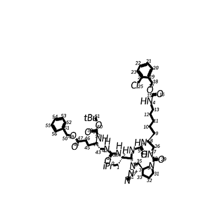 CC(C)C[C@@H](CNC(=O)N[C@@H](CCCCCNC(=O)OCc1ccccc1Cl)CNC(=O)N1CCC[C@H]1CN=[N+]=[N-])NC(=O)NC[C@H](CCC(=O)OCc1ccccc1)NC(=O)OC(C)(C)C